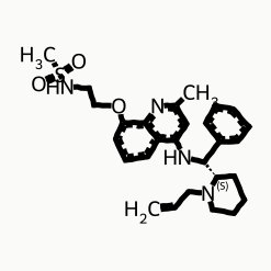 C=CCN1CCCC[C@H]1C(Nc1cc(C)nc2c(OCCNS(C)(=O)=O)cccc12)c1ccccc1